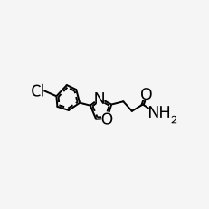 NC(=O)CCc1nc(-c2ccc(Cl)cc2)co1